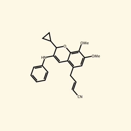 COc1cc(CC=CC#N)c2c(c1OC)OC(C1CC1)C(Nc1ccccc1)=C2